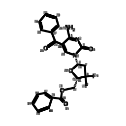 Nc1nc(=O)n([C@@H]2CC(F)(F)[C@H](COC(=O)c3ccccc3)O2)cc1C(=O)c1ccccc1